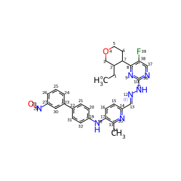 CCC1COCCC1c1nc(N/N=C/c2ccc(Nc3ccc(-c4cccc(N=O)c4)cc3)c(C)n2)ncc1F